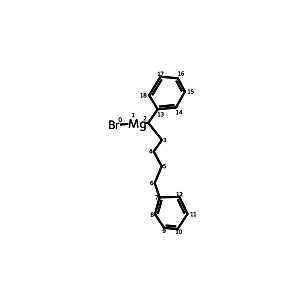 [Br][Mg][CH](CCCCc1ccccc1)c1ccccc1